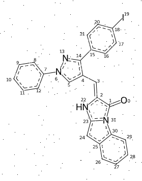 O=c1/c(=C/c2cn(-c3ccccc3)nc2-c2ccc(I)cc2)[nH]c2cc3ccccc3n12